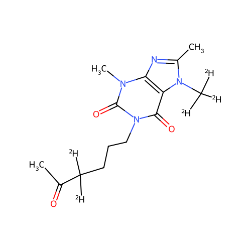 [2H]C([2H])(CCCn1c(=O)c2c(nc(C)n2C([2H])([2H])[2H])n(C)c1=O)C(C)=O